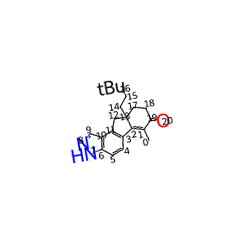 CC1=C2c3ccc4[nH]ncc4c3CC2(CCC(C)(C)C)CCC1=O